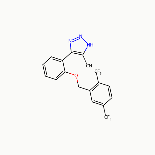 N#Cc1[nH]nnc1-c1ccccc1OCc1cc(C(F)(F)F)ccc1C(F)(F)F